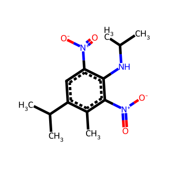 Cc1c(C(C)C)cc([N+](=O)[O-])c(NC(C)C)c1[N+](=O)[O-]